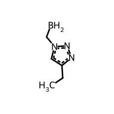 BCn1cc(CC)nn1